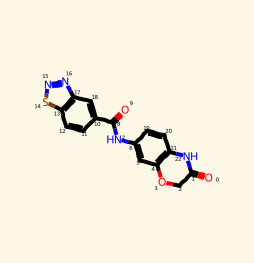 O=C1COc2cc(NC(=O)c3ccc4snnc4c3)ccc2N1